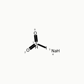 O=[SH](=O)I.[NaH]